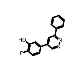 Oc1cc(-c2cnnc(-c3ccccc3)c2)ccc1F